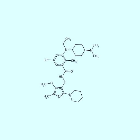 CCN(c1cc(Cl)cc(C(=O)NCc2c(N3CCCCC3)nn(C)c2OC)c1C)[C@H]1CC[C@H](N(C)C)CC1